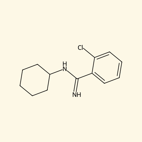 N=C(NC1CCCCC1)c1ccccc1Cl